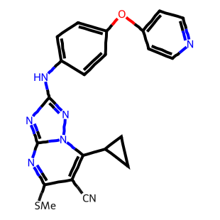 CSc1nc2nc(Nc3ccc(Oc4ccncc4)cc3)nn2c(C2CC2)c1C#N